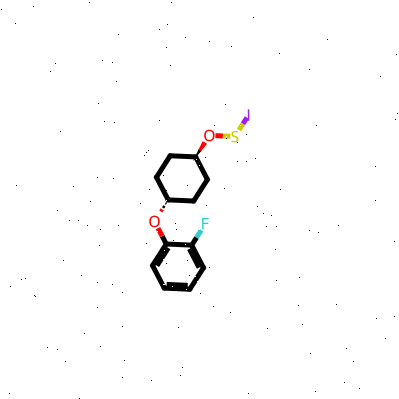 Fc1ccccc1O[C@H]1CC[C@H](OSI)CC1